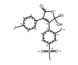 CCC1(O)OC(=O)C(c2ccc(F)cc2)=C1c1ccc(S(C)(=O)=O)cc1F